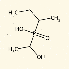 CCC(C)P(=O)(O)C(C)O